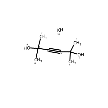 CC(C)(O)C#CC(C)(C)O.[KH]